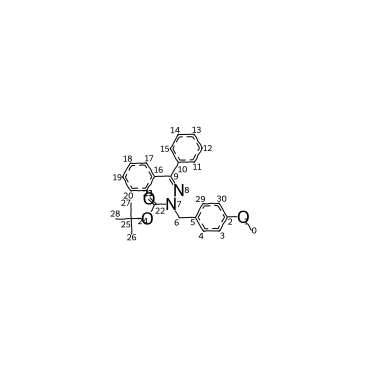 COc1ccc(CN(N=C(c2ccccc2)c2ccccc2)C(=O)OC(C)(C)C)cc1